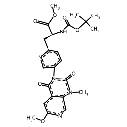 COC(=O)[C@H](Cc1ccc(-n2c(=O)c3cc(OC)ncc3n(C)c2=O)cn1)NC(=O)OC(C)(C)C